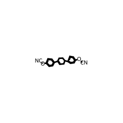 N#COc1ccc(C2=CCC(c3ccc(OC#N)cc3)CC2)cc1